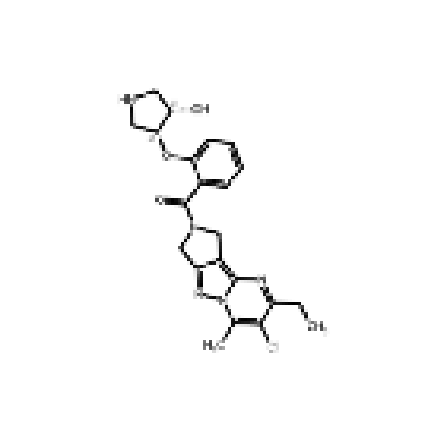 CCc1nc2c3c(nn2c(C)c1Cl)CN(C(=O)c1ccccc1O[C@H]1CNC[C@@H]1O)C3